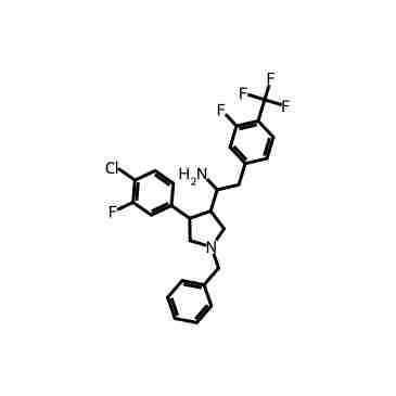 NC(Cc1ccc(C(F)(F)F)c(F)c1)C1CN(Cc2ccccc2)CC1c1ccc(Cl)c(F)c1